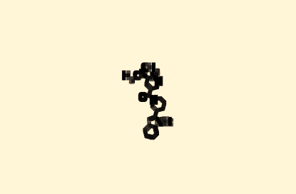 CCn1c(C2CCCN(C(=O)c3cnnc(N(C)C)c3)C2)cc2ccccc21